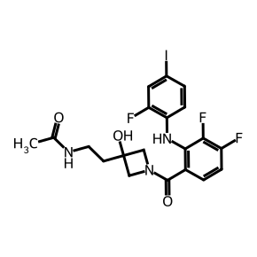 CC(=O)NCCC1(O)CN(C(=O)c2ccc(F)c(F)c2Nc2ccc(I)cc2F)C1